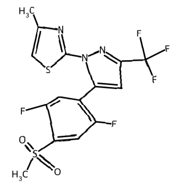 Cc1csc(-n2nc(C(F)(F)F)cc2-c2cc(F)c(S(C)(=O)=O)cc2F)n1